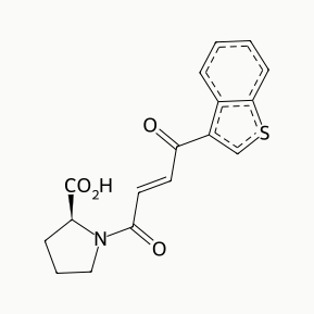 O=C(C=CC(=O)N1CCC[C@H]1C(=O)O)c1csc2ccccc12